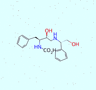 O=C(O)N[C@@H](Cc1ccccc1)[C@@H](O)CN[C@H](CO)c1ccccc1